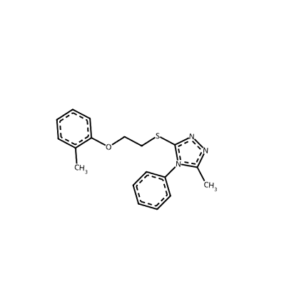 Cc1ccccc1OCCSc1nnc(C)n1-c1ccccc1